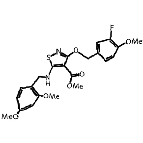 COC(=O)c1c(OCc2ccc(OC)c(F)c2)nsc1NCc1ccc(OC)cc1OC